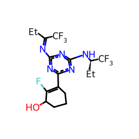 CC/C(=N/c1nc(N[C@H](CC)C(F)(F)F)nc(C2=C(F)C(O)CCC2)n1)C(F)(F)F